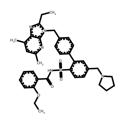 CCOc1ccccc1C(=O)NS(=O)(=O)c1ccc(CN2CCCC2)cc1-c1ccc(Cn2c(CC)nc3c(C)cc(C)nc32)cc1